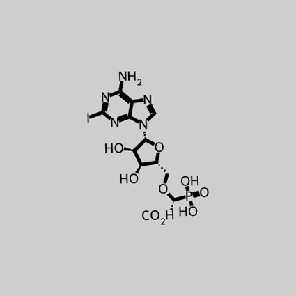 Nc1nc(I)nc2c1ncn2[C@@H]1O[C@H](CO[C@@H](C(=O)O)P(=O)(O)O)[C@@H](O)[C@H]1O